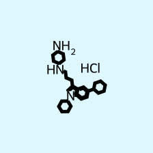 Cl.NC1CCC(NCCCc2cn(C3CCCCC3)c3ccc(C4CCCCC4)cc23)CC1